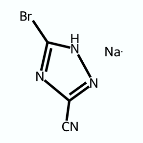 N#Cc1n[nH]c(Br)n1.[Na]